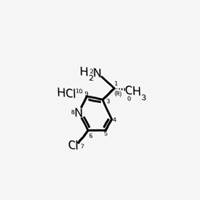 C[C@@H](N)c1ccc(Cl)nc1.Cl